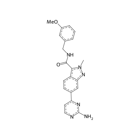 COc1cccc(CNC(=O)c2c3ccc(-c4ccnc(N)n4)cc3nn2C)c1